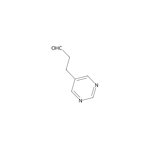 O=[C]CCc1cncnc1